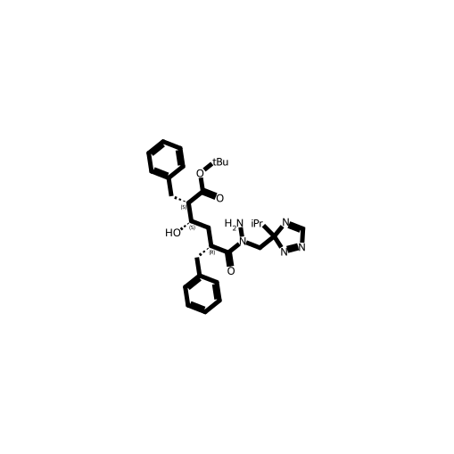 CC(C)C1(CN(N)C(=O)[C@H](Cc2ccccc2)C[C@H](O)[C@H](Cc2ccccc2)C(=O)OC(C)(C)C)N=CN=N1